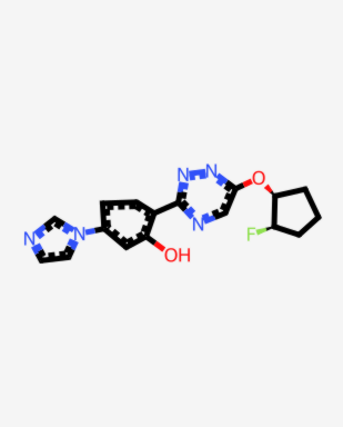 Oc1cc(-n2ccnc2)ccc1-c1ncc(O[C@H]2CCC[C@H]2F)nn1